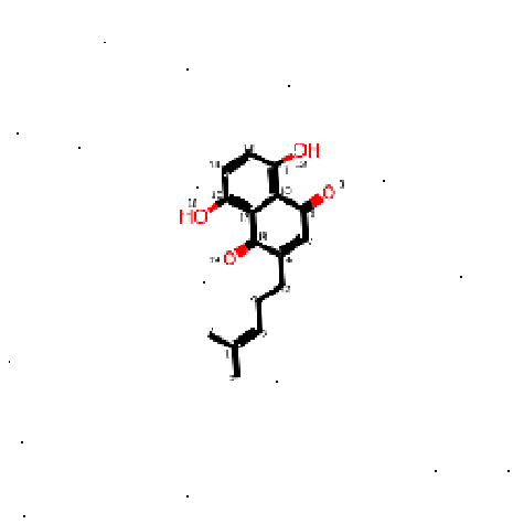 CC(C)=CC[CH]C1=CC(=O)c2c(O)ccc(O)c2C1=O